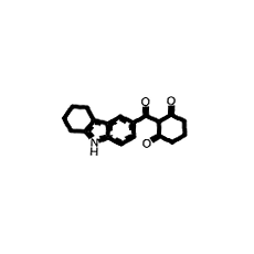 O=C1CCCC(=O)C1C(=O)c1ccc2[nH]c3c(c2c1)CCCC3